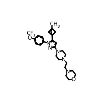 CC12CC(c3cc(N4CCN(CCN5CCOCC5)CC4)nn3-c3ccc(OC(F)(F)F)cc3)(C1)C2